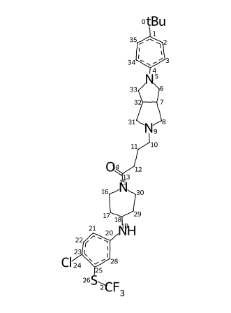 CC(C)(C)c1ccc(N2CC3CN(CCCC(=O)N4CCC(Nc5ccc(Cl)c(SC(F)(F)F)c5)CC4)CC3C2)cc1